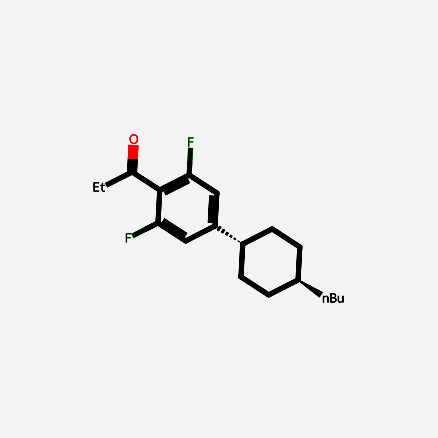 CCCC[C@H]1CC[C@H](c2cc(F)c(C(=O)CC)c(F)c2)CC1